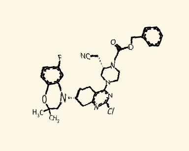 CC1(C)CN([C@@H]2CCc3c(nc(Cl)nc3N3CCN(C(=O)OCc4ccccc4)[C@@H](CC#N)C3)C2)c2cc(F)ccc2O1